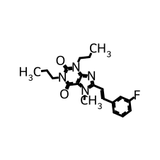 CCCn1c(=O)c2c(nc(C=Cc3cccc(F)c3)n2C)n(CCC)c1=O